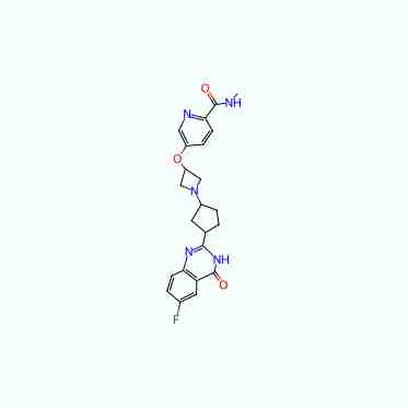 CNC(=O)c1ccc(OC2CN(C3CCC(c4nc5ccc(F)cc5c(=O)[nH]4)C3)C2)cn1